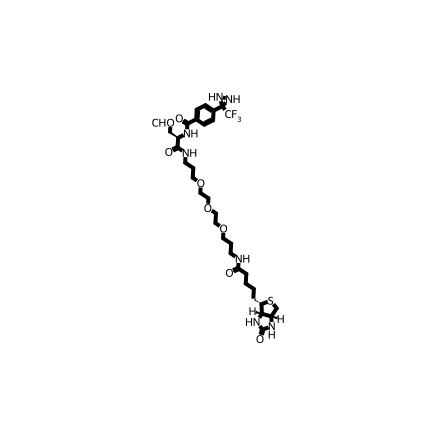 O=CC[C@@H](NC(=O)c1ccc(C2(C(F)(F)F)NN2)cc1)C(=O)NCCCOCCOCCOCCCNC(=O)CCCC[C@@H]1SC[C@@H]2NC(=O)N[C@@H]21